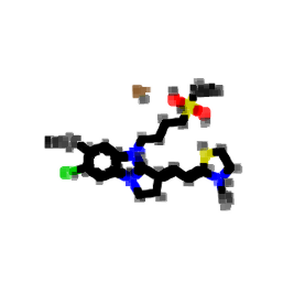 CCOC(=O)c1cc2c(cc1Cl)n1c([n+]2CCCCS(=O)(=O)NC(C)=O)C(=CC=C2SCCN2CC)CC1.[Br-]